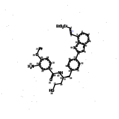 CCOC(=O)/C=C/c1cccn2cc(-c3ccc(C[C@@H](CCO)NC(=O)c4ccc(OC(C)C)c(N)c4)cc3)nc12